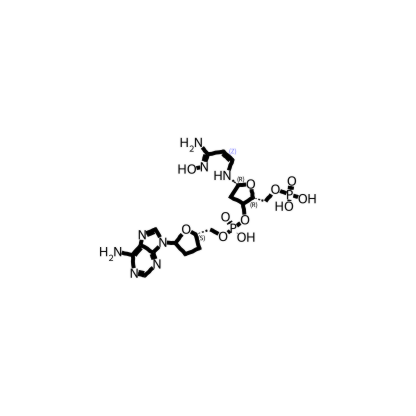 NC(/C=C\N[C@H]1CC(OP(=O)(O)OC[C@@H]2CCC(n3cnc4c(N)ncnc43)O2)[C@@H](COP(=O)(O)O)O1)=NO